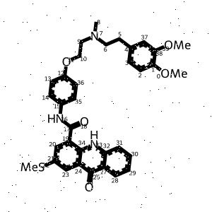 COc1ccc(CCN(C)CCOc2ccc(NC(=O)c3cc(SC)cc4c(=O)c5ccccc5[nH]c34)cc2)cc1OC